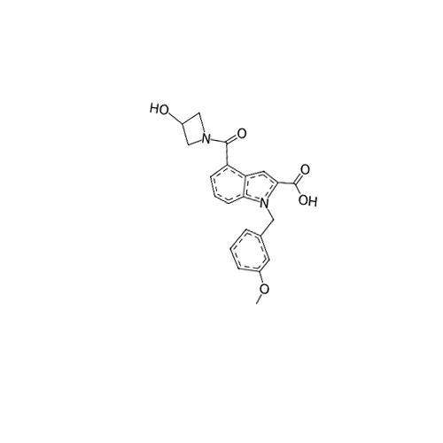 COc1cccc(Cn2c(C(=O)O)cc3c(C(=O)N4CC(O)C4)cccc32)c1